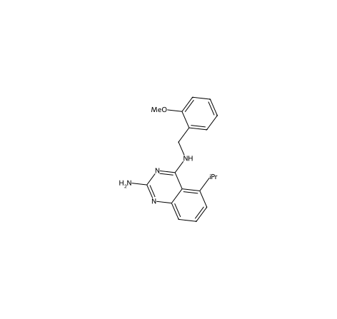 COc1ccccc1CNc1nc(N)nc2cccc(C(C)C)c12